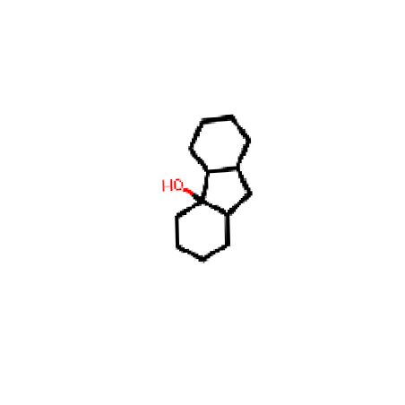 OC12CCCCC1CC1CCCCC12